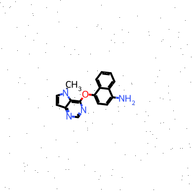 Cn1ccc2ncnc(Oc3ccc(N)c4ccccc34)c21